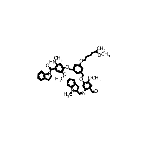 C=C(CCCCOc1cc(COc2cc(/N=C\C3Cc4ccccc4N3C)c(C=O)cc2OC)cc(COc2cc(NC)c(C(=O)N3CCc4ccccc43)cc2OC)c1)OC